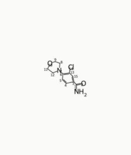 NC(=O)c1ccc(N2CCOCC2)c(Cl)c1